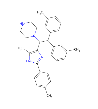 Cc1ccc(-c2nc(C(C(c3cccc(C)c3)c3cccc(C)c3)N3CCNCC3)c(C)[nH]2)cc1